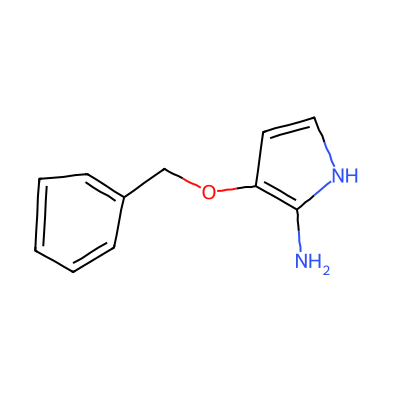 Nc1[nH]ccc1OCc1ccccc1